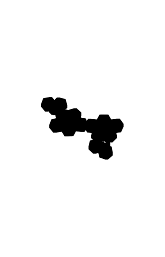 CC1(C)c2ccccc2-c2cccc(-c3cc4c5ccccc5n5c6ccccc6n6c7ccc(-c8ccc9c(c8)c8cc(-c%10cccc%11c%10oc%10ccccc%10%11)cc%10c%11cccc%12c%13ccccc%13n(c%13ccccc%13n9c8%10)c%12%11)cc7c7cccc(c(c3)c45)c76)c21